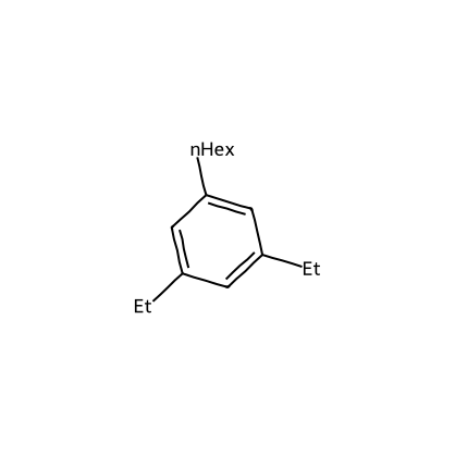 [CH2]CCCCCc1cc(CC)cc(CC)c1